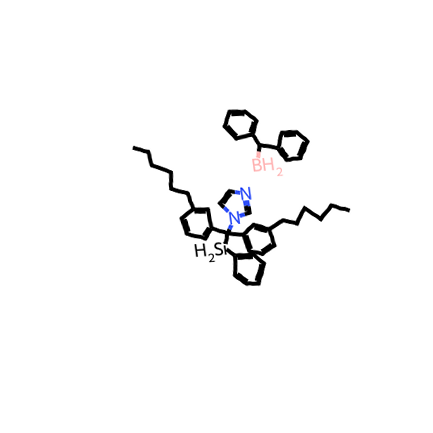 BC(c1ccccc1)c1ccccc1.CCCCCCc1cccc(C([SiH2]c2ccccc2)(c2cccc(CCCCCC)c2)n2ccnc2)c1